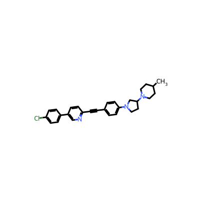 CC1CCN(C2CCN(c3ccc(C#Cc4ccc(-c5ccc(Cl)cc5)cn4)cc3)C2)CC1